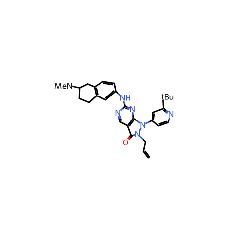 C=CCn1c(=O)c2cnc(Nc3ccc4c(c3)CCC(NC)C4)nc2n1-c1ccnc(C(C)(C)C)c1